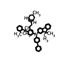 Cc1ccccc1C(C)(C)c1ccc(N(c2ccc(-c3ccccc3)cc2)c2ccc3c(c2)C(C)(C)c2ccccc2-3)cc1CCC1C[C@@H]2C[C@H](C)C[C@H]1C2